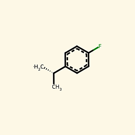 [CH2][C@@H](C)c1ccc(F)cc1